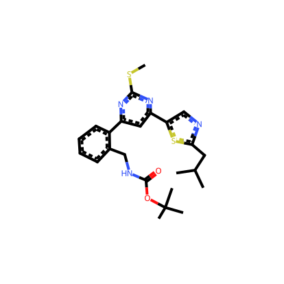 CSc1nc(-c2cnc(CC(C)C)s2)cc(-c2ccccc2CNC(=O)OC(C)(C)C)n1